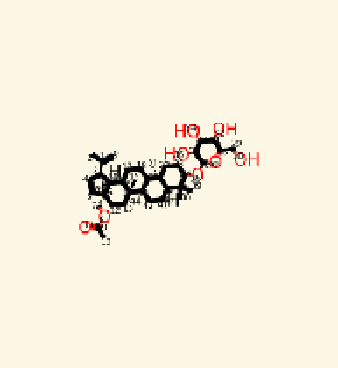 C=C(C)[C@@H]1CC[C@]2(COC(C)=O)CC[C@]3(C)[C@H](CCC4[C@@]5(C)CC[C@@H](O[C@@H]6O[C@H](CO)[C@H](O)[C@H](O)[C@H]6O)C(C)(C)[C@@H]5CC[C@]43C)[C@@H]12